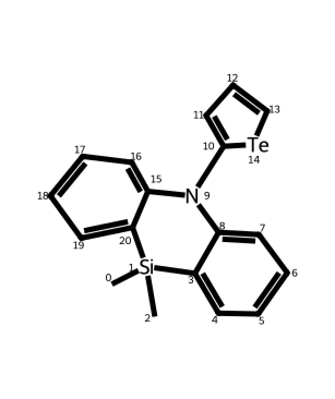 C[Si]1(C)c2ccccc2N(c2ccc[te]2)c2ccccc21